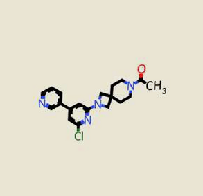 CC(=O)N1CCC2(CC1)CN(c1cc(-c3cccnc3)cc(Cl)n1)C2